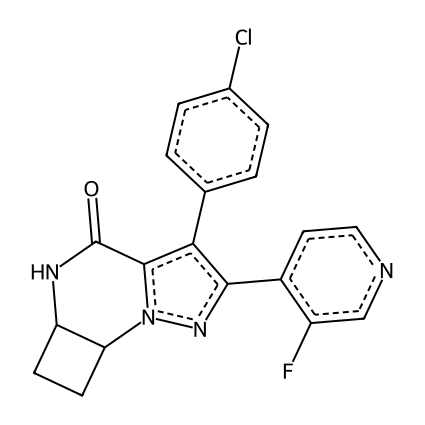 O=C1NC2CCC2n2nc(-c3ccncc3F)c(-c3ccc(Cl)cc3)c21